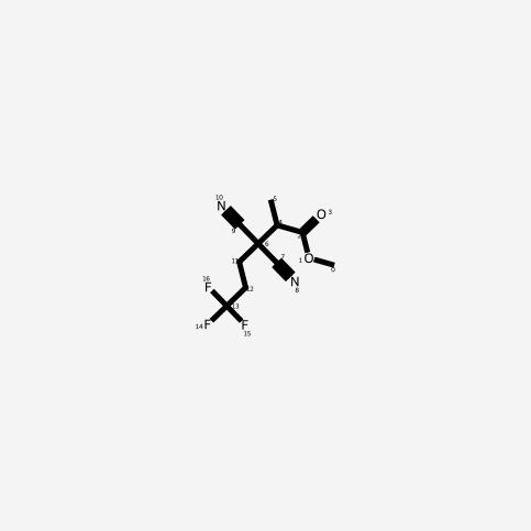 COC(=O)C(C)C(C#N)(C#N)CCC(F)(F)F